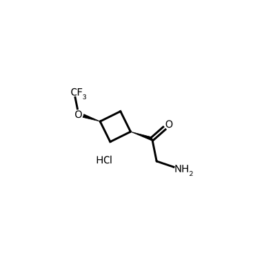 Cl.NCC(=O)[C@H]1C[C@@H](OC(F)(F)F)C1